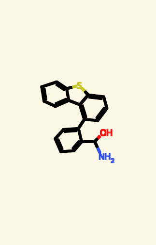 NC(O)c1ccccc1-c1cccc2sc3ccccc3c12